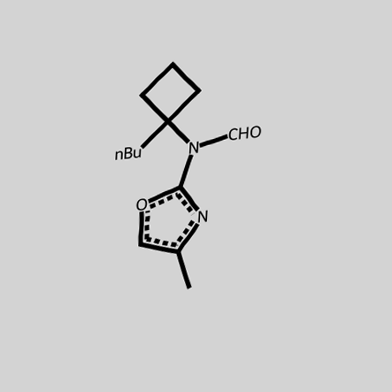 CCCCC1(N(C=O)c2nc(C)co2)CCC1